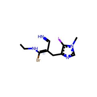 CCN/C(Br)=C(\C=N)Cc1ncn(C)c1I